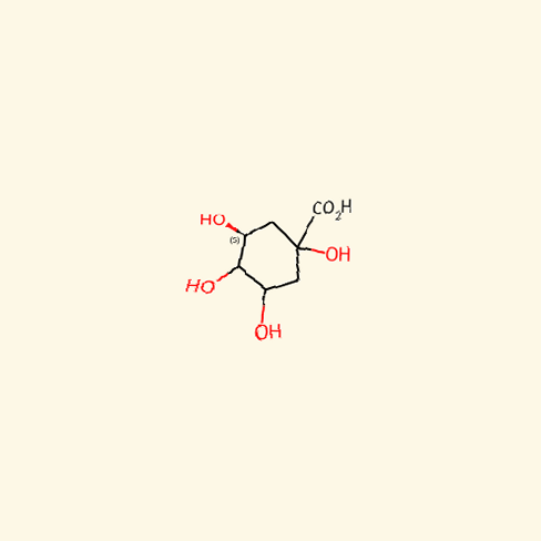 O=C(O)C1(O)CC(O)C(O)[C@@H](O)C1